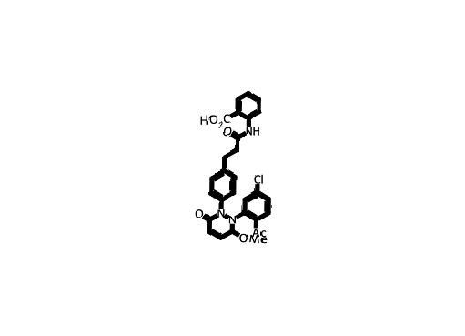 COC1C=CC(=O)N(c2ccc(CCC(=O)Nc3ccccc3C(=O)O)cc2)N1c1cc(Cl)ccc1C(C)=O